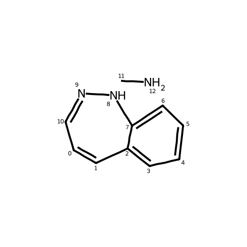 C1=Cc2ccccc2NN=C1.CN